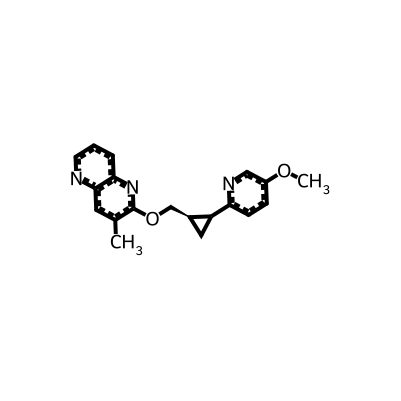 COc1ccc(C2C[C@H]2COc2nc3cccnc3cc2C)nc1